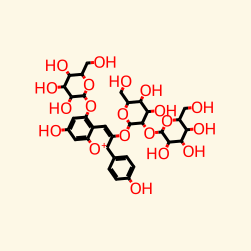 OCC1OC(Oc2cc(O)cc3[o+]c(-c4ccc(O)cc4)c(OC4OC(CO)C(O)C(O)C4OC4OC(CO)C(O)C(O)C4O)cc23)C(O)C(O)C1O